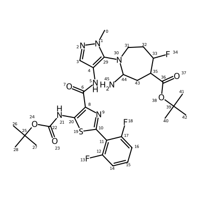 Cn1ncc(NC(=O)c2nc(-c3c(F)cccc3F)sc2NC(=O)OC(C)(C)C)c1N1CCC(F)C(C(=O)OC(C)(C)C)CC1N